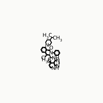 CC(C)C1CCN(c2cccc3c(Cl)c([C@H](C)Nc4ncnc5[nH]ccc(=O)c45)n(-c4ccccc4)c(=O)c23)CC1